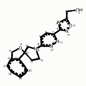 OCc1nc(-c2ccc(N3CCC4(C3)OCc3ccccc34)nn2)no1